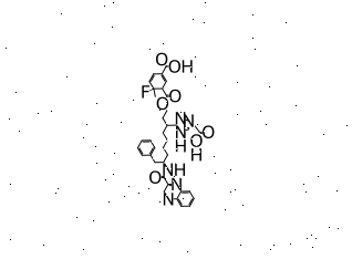 CC(=O)O.CC1(F)C=CC(C(=O)O)=CC1C(=O)OCCC(CCCCC(Cc1ccccc1)NC(=O)c1cnc2ccccc2n1)c1nnc[nH]1